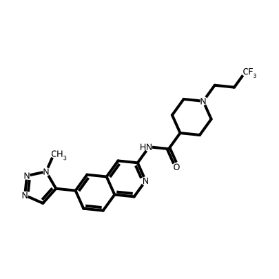 Cn1nncc1-c1ccc2cnc(NC(=O)C3CCN(CCC(F)(F)F)CC3)cc2c1